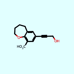 O=C(O)c1cc(C#CCO)cc2c1OCCCC2